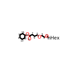 CCCCCCOCCOCCCC(=O)OC1CCCCC1